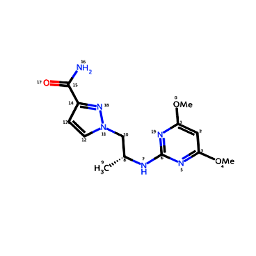 COc1cc(OC)nc(N[C@H](C)Cn2c[c]c(C(N)=O)n2)n1